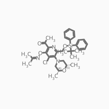 CC(=O)c1nc(CO[Si](c2ccccc2)(c2ccccc2)C(C)(C)C)c(N2C[C@@H](C)O[C@@H](C)C2)c(Cl)c1ON=C(C)C